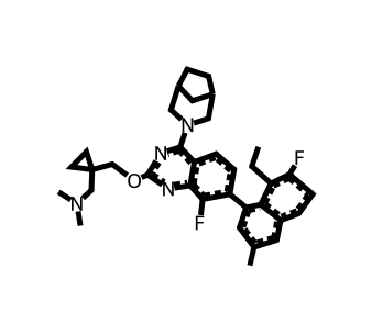 CCc1c(F)ccc2cc(C)cc(-c3ccc4c(N5CC6CCC(C6)C5)nc(OCC5(CN(C)C)CC5)nc4c3F)c12